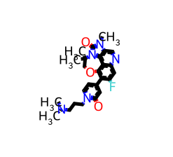 CN(C)CCCn1ccc(-c2c(F)cc3ncc4c5c3c2OCC(C)(C)n5c(=O)n4C)cc1=O